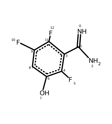 N=C(N)c1c(F)c(O)[c]c(F)c1F